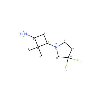 CC1(C)C(N)CC1N1CCC(F)(F)C1